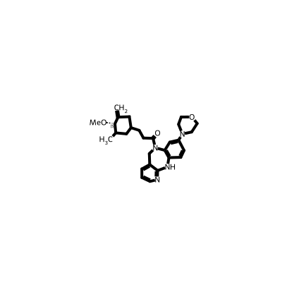 C=C1CC(CCC(=O)N2Cc3cccnc3Nc3ccc(N4CCOCC4)cc32)CC(C)[C@@H]1OC